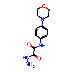 NNC(=O)C(=O)Nc1ccc(N2CCOCC2)cc1